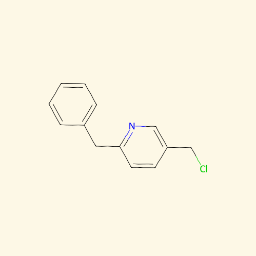 ClCc1ccc(Cc2ccccc2)nc1